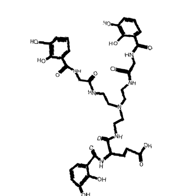 O=C(O)CCC(NC(=O)c1cccc(O)c1O)C(=O)NCCN(CCNC(=O)CNC(=O)c1cccc(O)c1O)CCNC(=O)CNC(=O)c1cccc(O)c1O